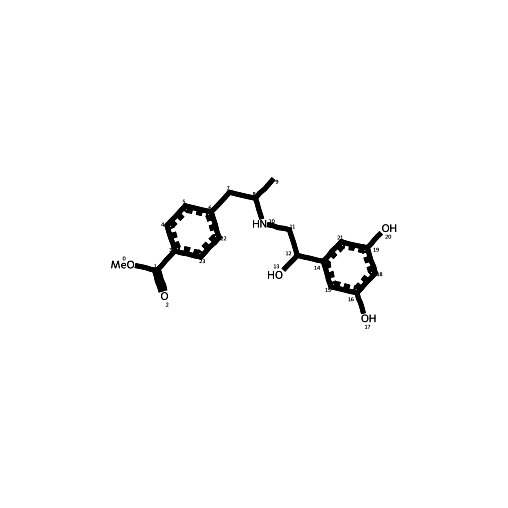 COC(=O)c1ccc(CC(C)NCC(O)c2cc(O)cc(O)c2)cc1